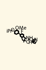 COc1cc(-c2cc3c(cc2F)[C@H](NC(=O)O[C@@H]2CN4CCC2CC4)C(C)(C)C3)ccc1OC(C)C